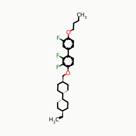 C=C[C@H]1CC[C@H]([C@H]2CC[C@H](COc3ccc(-c4ccc(OCCCC)c(F)c4)c(F)c3F)CC2)CC1